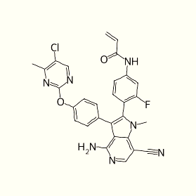 C=CC(=O)Nc1ccc(-c2c(-c3ccc(Oc4ncc(Cl)c(C)n4)cc3)c3c(N)ncc(C#N)c3n2C)c(F)c1